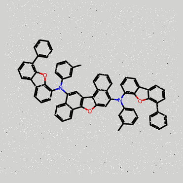 Cc1cccc(N(c2cc3c(oc4cc(N(c5cccc(C)c5)c5cccc6c5oc5c(-c7ccccc7)cccc56)c5ccccc5c43)c3ccccc23)c2cccc3c2oc2c(-c4ccccc4)cccc23)c1